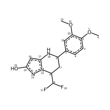 COc1ccc(C2CC(C(F)F)n3nc(O)cc3N2)cc1OC